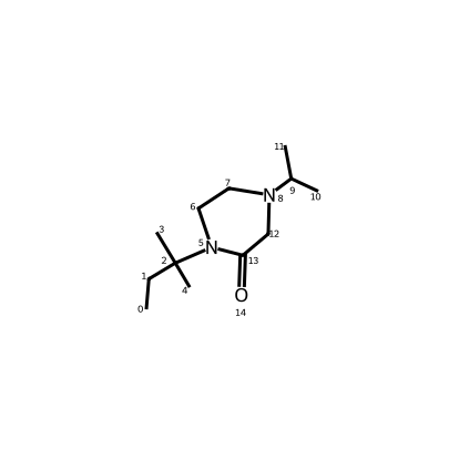 CCC(C)(C)N1CCN(C(C)C)CC1=O